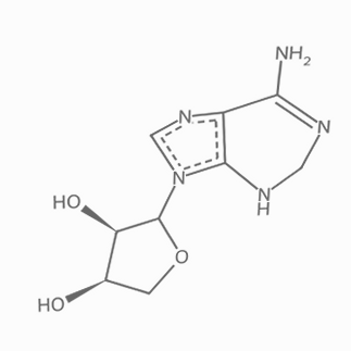 NC1=NCNc2c1ncn2C1OC[C@@H](O)[C@H]1O